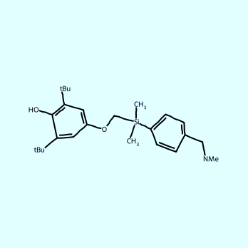 CNCc1ccc([Si](C)(C)COc2cc(C(C)(C)C)c(O)c(C(C)(C)C)c2)cc1